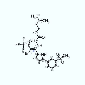 CN(C)CCOC(=O)CN/C(=C(/Br)C(=N)C(F)(F)F)c1ccc(-c2cccc(S(C)(=O)=O)c2)[nH]1